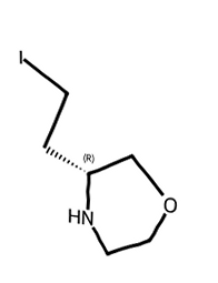 ICC[C@@H]1COCCN1